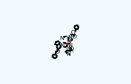 C[C@@H](Oc1nc2c(c(N3CCN(CC(=O)OCc4ccccc4)[C@@H](CC#N)C3)n1)CCN(c1cc(OCc3ccccc3)cc3ccccc13)C2)C1CCCN1C